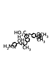 CC(Cc1ccc2c(c1)cc(C(=O)O)n2Cc1ccc(N(C)S(C)(=O)=O)cc1)NCC(O)c1ccc(N)nc1